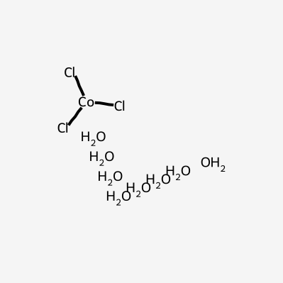 O.O.O.O.O.O.O.O.[Cl][Co]([Cl])[Cl]